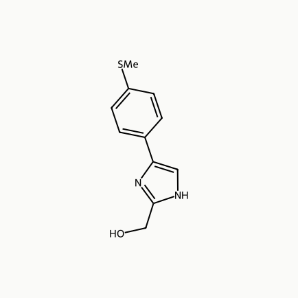 CSc1ccc(-c2c[nH]c(CO)n2)cc1